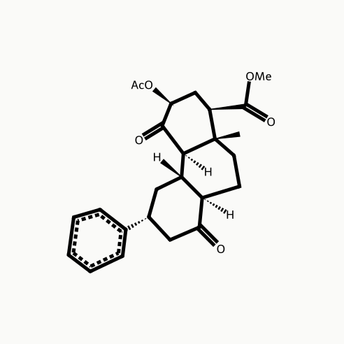 COC(=O)[C@@H]1C[C@H](OC(C)=O)C(=O)[C@@H]2[C@H]3C[C@@H](c4ccccc4)CC(=O)[C@@H]3CC[C@]21C